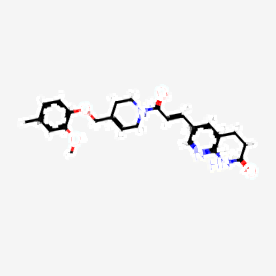 COc1cc(C)ccc1OCC1=CCN(C(=O)/C=C/c2cnc3c(c2)CCC(=O)N3)CC1